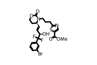 COC(=O)c1cnc(CCCN2C(=O)OCC[C@@H]2/C=C/[C@@H](O)C(F)(F)c2cccc(Br)c2)s1